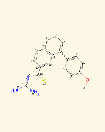 COc1ccc(C2=CCCc3ccc(C(=S)N=C(N)N)cc32)cc1